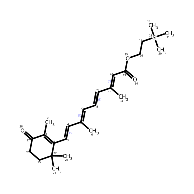 CC1=C(/C=C/C(C)=C/C=C/C(C)=C/C(=O)OCC[Si](C)(C)C)C(C)(C)CCC1=O